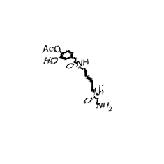 CC(=O)Oc1ccc(CC(=O)NCCCCCNC(=O)CCN)cc1O